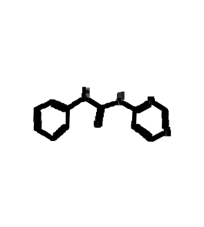 O=C(Nc1ccccc1)Nc1ccncn1